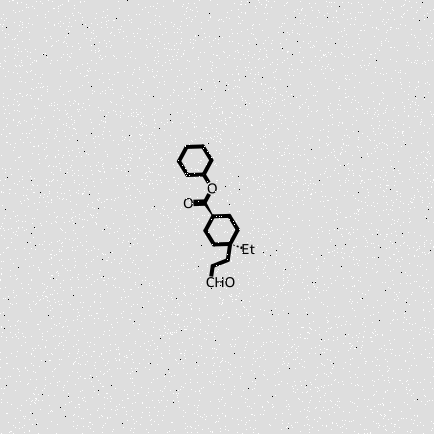 CC[C@]1(CCC=O)CC[C@@H](C(=O)OC2CCCCC2)CC1